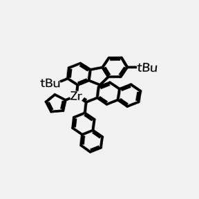 CC(C)(C)c1ccc2c(c1)Cc1c-2ccc(C(C)(C)C)[c]1[Zr]([C]1=CC=CC1)=[C](c1ccc2ccccc2c1)c1ccc2ccccc2c1